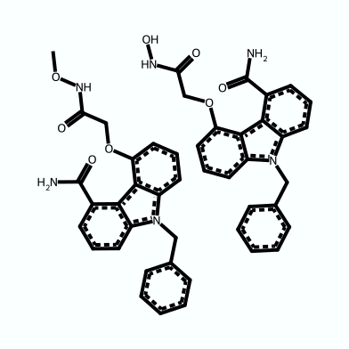 CONC(=O)COc1cccc2c1c1c(C(N)=O)cccc1n2Cc1ccccc1.NC(=O)c1cccc2c1c1c(OCC(=O)NO)cccc1n2Cc1ccccc1